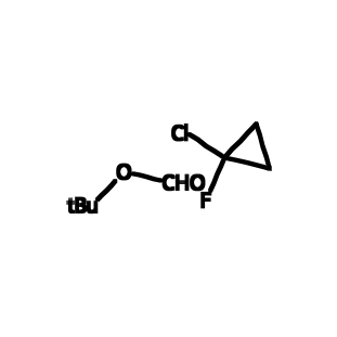 CC(C)(C)OC=O.FC1(Cl)CC1